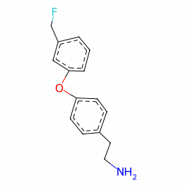 NCCc1ccc(Oc2cccc(CF)c2)cc1